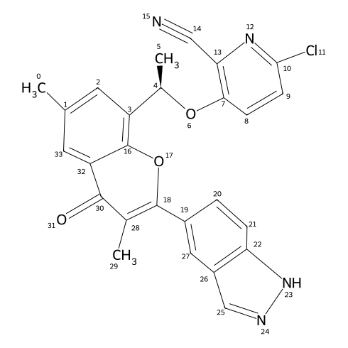 Cc1cc([C@@H](C)Oc2ccc(Cl)nc2C#N)c2oc(-c3ccc4[nH]ncc4c3)c(C)c(=O)c2c1